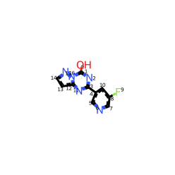 Oc1nc(-c2cncc(F)c2)nc2ccnn12